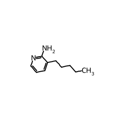 CCCCCc1cccnc1N